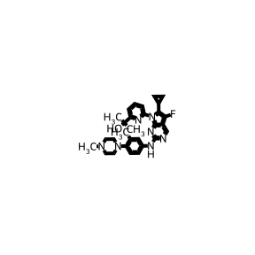 Cc1cc(Nc2ncc3c(F)c(C4CC4)n(-c4cccc(C(C)(C)O)n4)c3n2)ccc1N1CCN(C)CC1